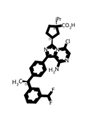 CC(C)[C@@]1(C(=O)O)CC[C@H](c2nc(-c3ccc([C@H](C)c4cccc(C(F)F)c4)cc3)c3c(N)ncc(Cl)n23)C1